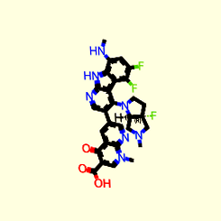 CNc1cc(F)c(F)c2c1[nH]c1ncc(-c3cnc4c(c3)c(=O)c(C(=O)O)cn4C)c(N3CC[C@@]4(F)CN(C)C[C@@H]34)c12